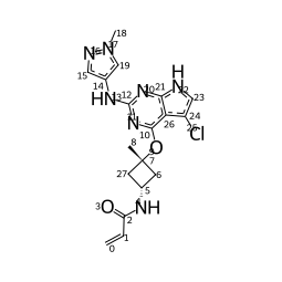 C=CC(=O)N[C@H]1C[C@@](C)(Oc2nc(Nc3cnn(C)c3)nc3[nH]cc(Cl)c23)C1